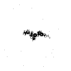 COc1ccc2c(Oc3ccc(N4C(=O)CN(c5cncc(C(F)(F)F)c5)C4=O)c(OC(F)F)c3)ncnc2c1